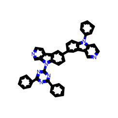 c1ccc(-c2nc(-c3ccccc3)nc(-n3c4ccc(-c5ccc6c(c5)c5cnccc5n6-c5ccccc5)cc4c4ccncc43)n2)cc1